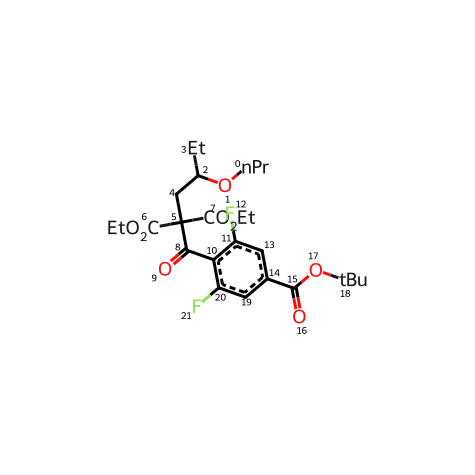 CCCOC(CC)CC(C(=O)OCC)(C(=O)OCC)C(=O)c1c(F)cc(C(=O)OC(C)(C)C)cc1F